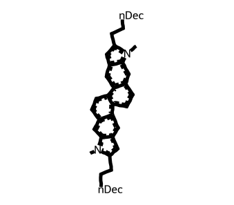 CCCCCCCCCCCCc1cc2cc3c(ccc4c5cc6cc(CCCCCCCCCCCC)n(C)c6cc5ccc34)cc2n1C